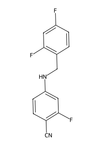 N#Cc1ccc(NCc2ccc(F)cc2F)cc1F